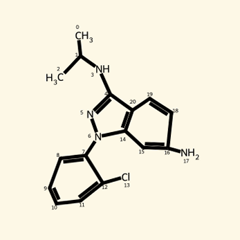 CC(C)Nc1nn(-c2ccccc2Cl)c2cc(N)ccc12